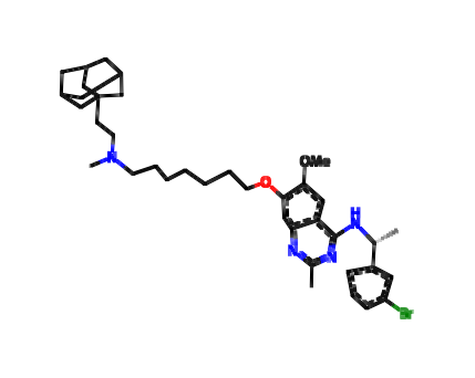 COc1cc2c(N[C@H](C)c3cccc(Br)c3)nc(C)nc2cc1OCCCCCCCN(C)CCC12CC3CC(CC(C3)C1)C2